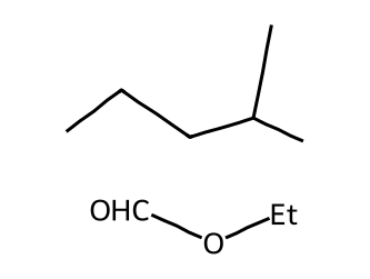 CCCC(C)C.CCOC=O